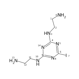 NCCNc1nc(I)nc(NCCN)n1